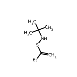 C=C(CC)SNC(C)(C)C